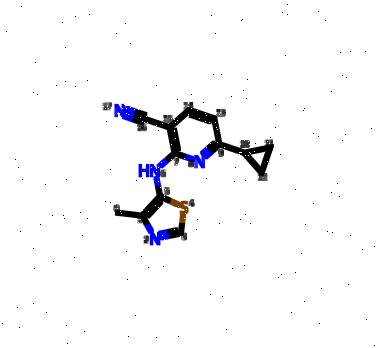 Cc1ncsc1Nc1nc(C2CC2)ccc1C#N